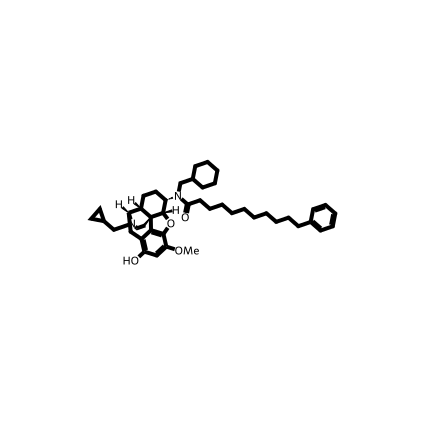 COc1cc(O)c2c3c1O[C@H]1[C@@H](N(CC4CCCCC4)C(=O)CCCCCCCCCCc4ccccc4)CC[C@H]4[C@@H](C2)N(CC2CC2)CC[C@@]341